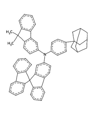 CC1(C)c2ccccc2-c2cc(N(c3ccc(C45CC6CC(CC(C6)C4)C5)cc3)c3ccc4c(c3)C3(c5ccccc5-c5ccccc53)c3ccccc3-4)ccc21